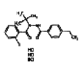 CCc1ccc(C(=O)NN(C(=O)c2ccccc2I)C(C)(C)C)cc1.Cl.Cl.Cl